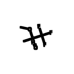 CO[SH](C)(=O)C(F)(F)F